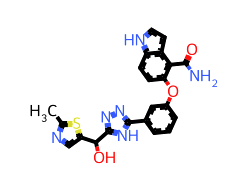 Cc1ncc(C(O)c2nnc(-c3cccc(Oc4ccc5[nH]ccc5c4C(N)=O)c3)[nH]2)s1